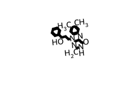 C=c1nc2c(c(=O)[nH]1)=Nc1cc(C)c(C)cc1N2CCC(O)c1ccccc1